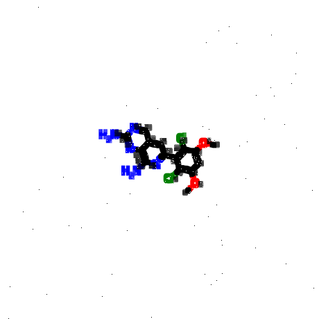 COc1cc(OC)c(Cl)c(-c2cc3cnc(N)nc3c(N)n2)c1Cl